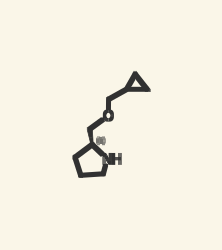 C1CN[C@H](COCC2CC2)C1